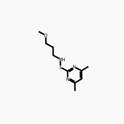 COCCCNSc1nc(C)cc(C)n1